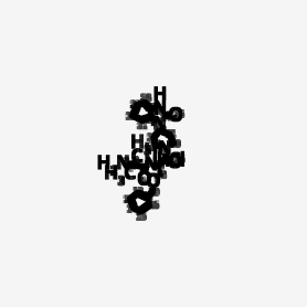 CC(C)(N)C(=O)N[C@H](COCc1ccccc1)C(=O)N1CCC(n2c(=O)[nH]c3ccccc32)CC1.Cl